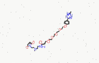 Cc1nnc(-c2ccc(OCCOCCOCCOCCOCCC(=O)NCCN(C)CCN3C(=O)C=CC3=O)cc2)nn1